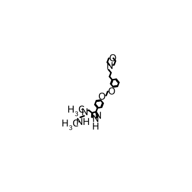 CNCCN(C)Cc1c[nH]nc1-c1ccc(OCCOc2cccc(CCCN3CCOCC3)c2)cc1